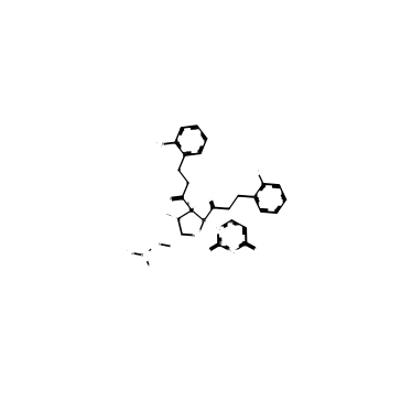 NP(O)OC[C@H]1O[C@@](C(=O)CCc2ccccc2[N+](=O)[O-])(n2ccc(=O)[nH]c2=O)[C@@](O)(C(=O)CCc2ccccc2[N+](=O)[O-])[C@@H]1O